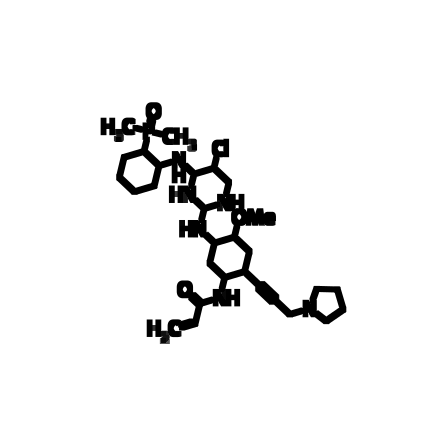 C=CC(=O)NC1CC(NC2NCC(Cl)C(NC3CCCCC3P(C)(C)=O)N2)C(OC)CC1C#CCN1CCCC1